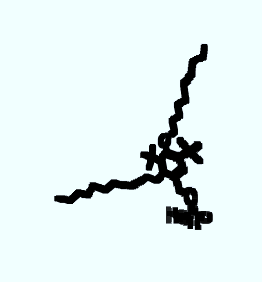 CCCCCCCCCCOc1c(C(C)(C)C)cc(CO[PH](=O)O)c(CCCCCCCCCC)c1C(C)(C)C